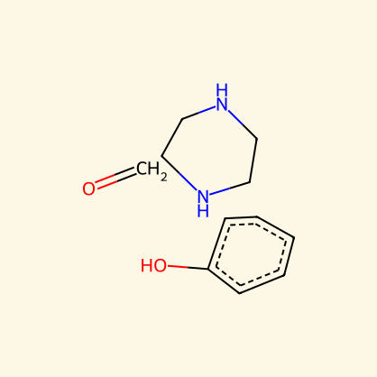 C1CNCCN1.C=O.Oc1ccccc1